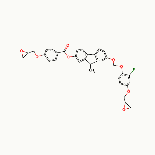 CC1c2cc(OCOc3ccc(OCC4CO4)cc3F)ccc2-c2ccc(OC(=O)c3ccc(OCC4CO4)cc3)cc21